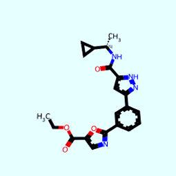 CCOC(=O)c1cnc(-c2cccc(-c3cc(C(=O)N[C@@H](C)C4CC4)[nH]n3)c2)o1